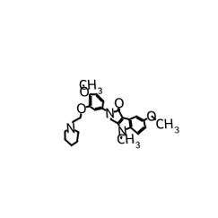 COc1ccc2c(c1)c1c(n2C)CN(c2ccc(OC)c(OCCN3CCCCC3)c2)C1=O